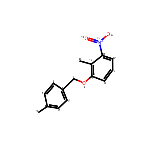 Cc1ccc(COc2cccc([N+](=O)[O-])c2C)cc1